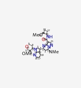 CNc1cc(-c2cn([C@H]3CCOC[C@H]3OC)c3ncccc23)nc2c(C(=O)NC3CC[C@H]3OC)cnn12